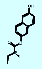 O=C(Oc1ccc2cc(O)ccc2c1)[C@@H](I)CI